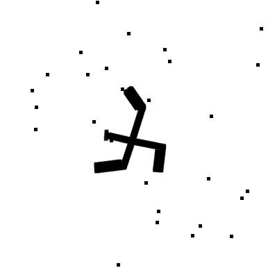 C=CC(I)(C=C)C=C